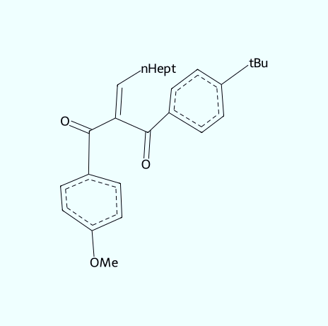 CCCCCCC/C=C(/C(=O)c1ccc(OC)cc1)C(=O)c1ccc(C(C)(C)C)cc1